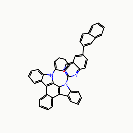 C1=CC(n2c3ccccc3c3c4ccccc4c4c5ccccc5n(-c5ncc6cc(-c7ccc8ccccc8c7)ccc6n5)c4c32)=CCC1